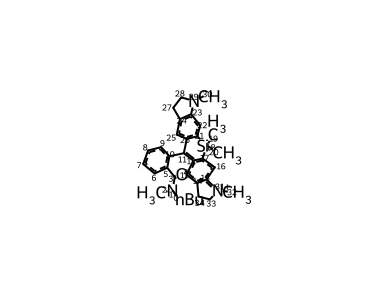 CCCCN(C)C(=O)c1ccccc1C1=c2cc3c(cc2[Si](C)(C)c2cc4c(cc21)CCN4C)=[N+](C)CC3